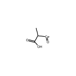 C[CH]([Ge]=[O])C(=O)O